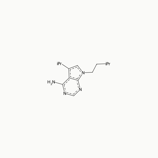 CC(C)CCn1cc(C(C)C)c2c(N)ncnc21